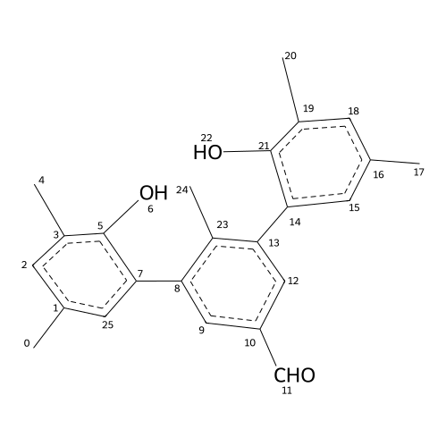 Cc1cc(C)c(O)c(-c2cc(C=O)cc(-c3cc(C)cc(C)c3O)c2C)c1